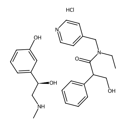 CCN(Cc1ccncc1)C(=O)C(CO)c1ccccc1.CNC[C@H](O)c1cccc(O)c1.Cl